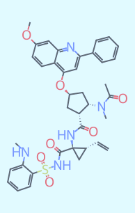 C=C[C@@H]1C[C@]1(NC(=O)[C@@H]1C[C@@H](Oc2cc(-c3ccccc3)nc3cc(OC)ccc23)C[C@@H]1N(C)C(C)=O)C(=O)NS(=O)(=O)c1ccccc1NC